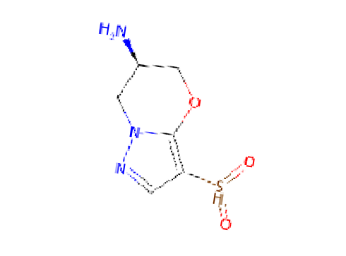 N[C@H]1COc2c([SH](=O)=O)cnn2C1